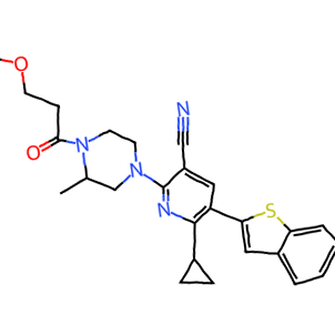 COCCC(=O)N1CCN(c2nc(C3CC3)c(-c3cc4ccccc4s3)cc2C#N)CC1C